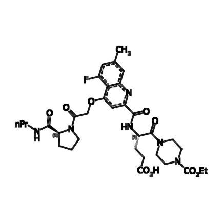 CCCNC(=O)[C@@H]1CCCN1C(=O)COc1cc(C(=O)N[C@@H](CCC(=O)O)C(=O)N2CCN(C(=O)OCC)CC2)nc2cc(C)cc(F)c12